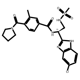 Cc1cc(C(=O)N[C@@H](CNS(C)(=O)=O)c2nc3cc(Cl)ccc3[nH]2)ccc1C(=O)N1CCCC1